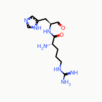 N=C(N)NCCC[C@H](N)C(=O)N[C@H](C=O)Cc1cnc[nH]1